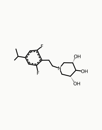 CC(C)c1cc(F)c(CCN2C[C@@H](O)C(O)[C@@H](O)C2)c(F)c1